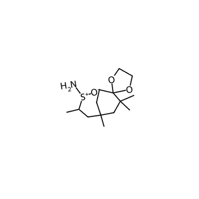 CC(CC1(C)CCC2(OCCO2)C(C)(C)C1)[S+](N)[O-]